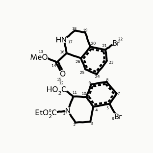 CCOC(=O)N1CCc2c(Br)cccc2C1C(=O)O.COC(=O)C1NCCc2c(Br)cccc21